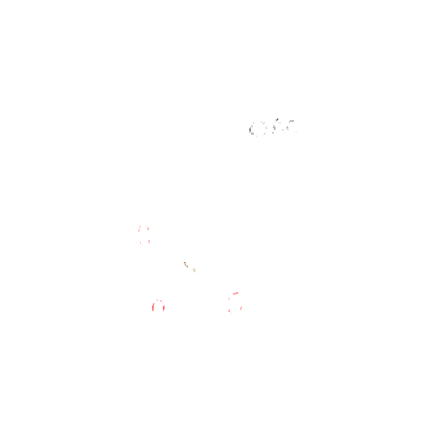 CC(=O)OC1COS(=O)(=O)C1C